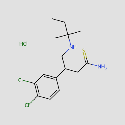 CCC(C)(C)NCC(CC(N)=S)c1ccc(Cl)c(Cl)c1.Cl